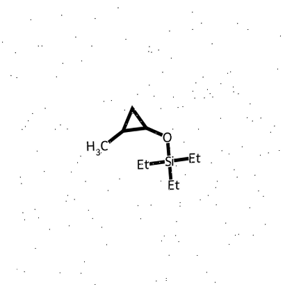 CC[Si](CC)(CC)OC1CC1C